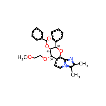 COCCO[C@H]1c2ccn3c(C)c(C)nc3c2O[C@H](c2ccccc2)[C@@H]1OC(=O)c1ccccc1